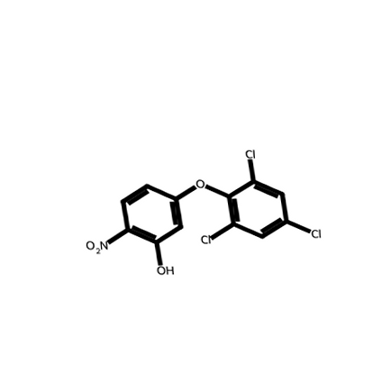 O=[N+]([O-])c1ccc(Oc2c(Cl)cc(Cl)cc2Cl)cc1O